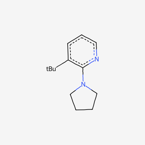 CC(C)(C)c1cccnc1N1CCCC1